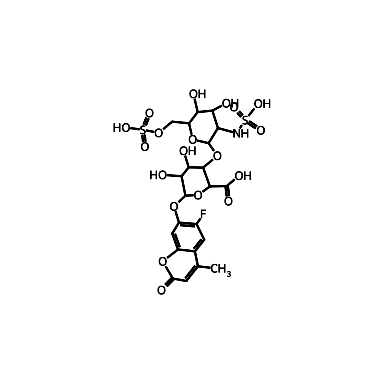 Cc1cc(=O)oc2cc(OC3OC(C(=O)O)C(OC4OC(COS(=O)(=O)O)C(O)C(O)C4NS(=O)(=O)O)C(O)C3O)c(F)cc12